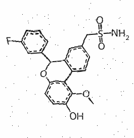 COc1c(O)ccc2c1-c1ccc(CS(N)(=O)=O)cc1C(c1cccc(F)c1)O2